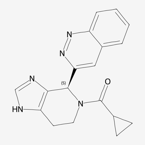 O=C(C1CC1)N1CCc2[nH]cnc2[C@H]1c1cc2ccccc2nn1